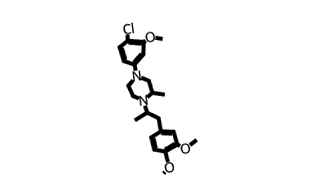 COc1cc(N2CCN(C(C)Cc3ccc(OC)c(OC)c3)C(C)C2)ccc1Cl